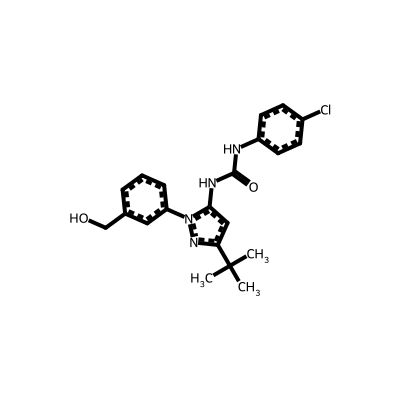 CC(C)(C)c1cc(NC(=O)Nc2ccc(Cl)cc2)n(-c2cccc(CO)c2)n1